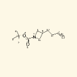 CC(C)(C)OC(=O)N1CC(CCC=O)C1